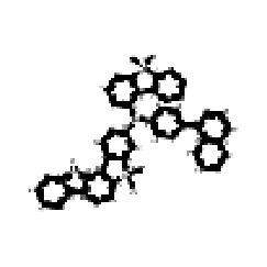 C[Si]1(C)c2ccccc2-c2c(N(c3ccc(-c4cccc5ccccc45)cc3)c3ccc4c(c3)[Si](C)(C)c3ccc5c(oc6ccccc65)c3-4)cccc21